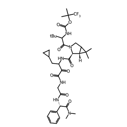 CN(C)C(=O)[C@@H](NC(=O)CNC(=O)C(=O)C(CC1CC1)NC(=O)[C@@H]1[C@@H]2C(CN1C(=O)C(NC(=O)OC(C)(C)C(F)(F)F)C(C)(C)C)C2(C)C)c1ccccc1